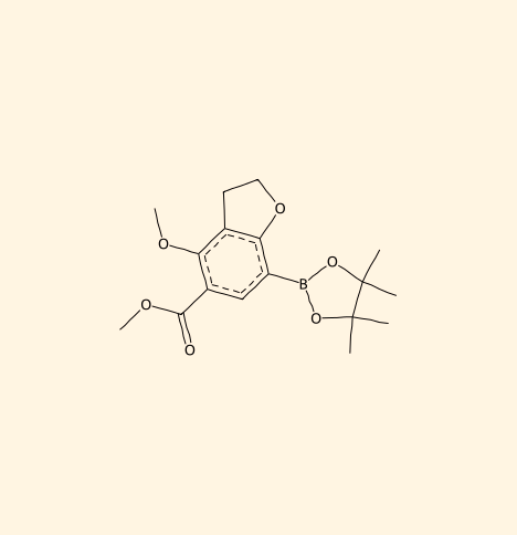 COC(=O)c1cc(B2OC(C)(C)C(C)(C)O2)c2c(c1OC)CCO2